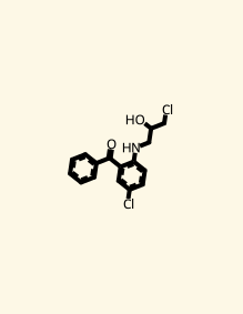 O=C(c1ccccc1)c1cc(Cl)ccc1NCC(O)CCl